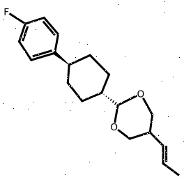 CC=CC1COC([C@H]2CC[C@H](c3ccc(F)cc3)CC2)OC1